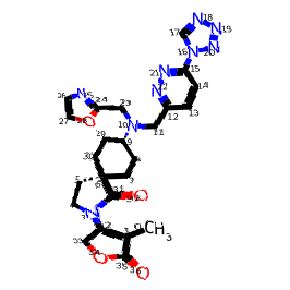 CC1=C(N2CC[C@]3(CC[C@@H](N(Cc4ccc(-n5cnnn5)nn4)Cc4ncco4)CC3)C2=O)COC1=O